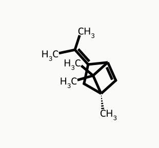 CC(C)=C1C[C@]2(C)C=C1C2(C)C